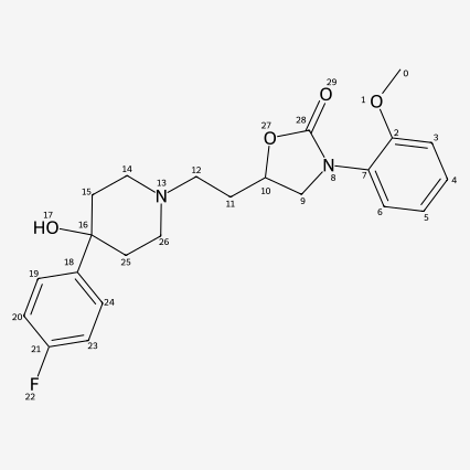 COc1ccccc1N1CC(CCN2CCC(O)(c3ccc(F)cc3)CC2)OC1=O